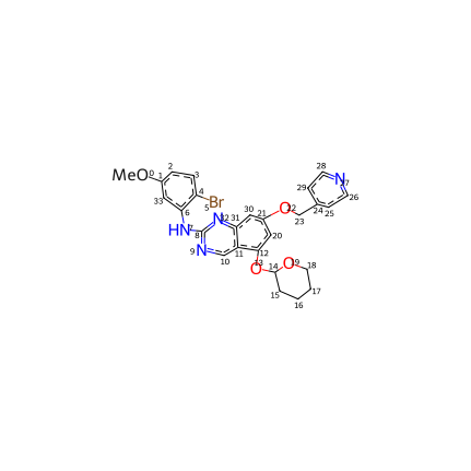 COc1ccc(Br)c(Nc2ncc3c(OC4CCCCO4)cc(OCc4ccncc4)cc3n2)c1